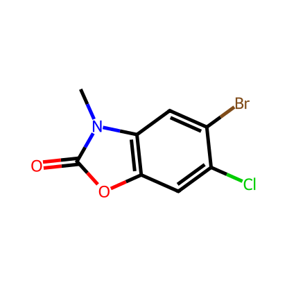 Cn1c(=O)oc2cc(Cl)c(Br)cc21